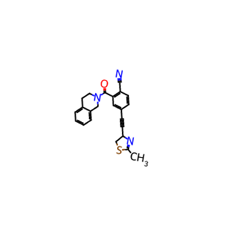 CC1=NC(C#Cc2ccc(C#N)c(C(=O)N3CCc4ccccc4C3)c2)CS1